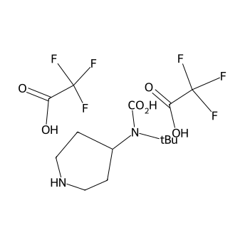 CC(C)(C)N(C(=O)O)C1CCNCC1.O=C(O)C(F)(F)F.O=C(O)C(F)(F)F